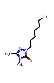 CCCCCCCn1nc(C)n(C)c1=S